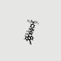 CN(C)C1CCN(S(=O)(=O)c2nnc(Nc3c4c(c(C#N)c5c3CCC5)CCC4)[nH]2)CC1